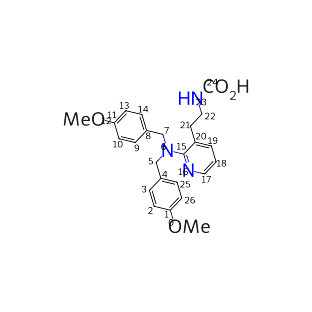 COc1ccc(CN(Cc2ccc(OC)cc2)c2ncccc2CCNC(=O)O)cc1